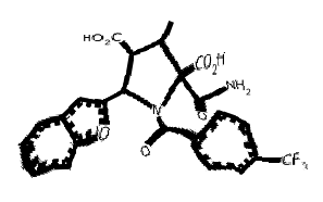 CC1C(C(=O)O)C(c2cc3ccccc3o2)N(C(=O)c2ccc(C(F)(F)F)cc2)C1(C(N)=O)C(=O)O